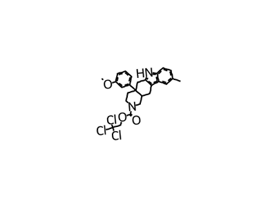 COc1cccc(C23CCN(C(=O)OCC(Cl)(Cl)Cl)CC2Cc2c([nH]c4ccc(C)cc24)C3)c1